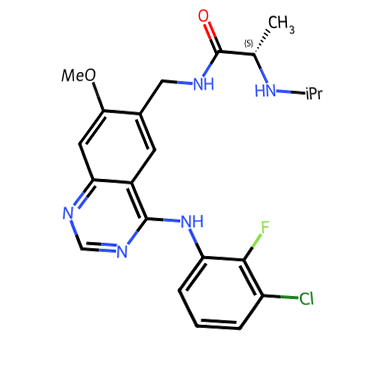 COc1cc2ncnc(Nc3cccc(Cl)c3F)c2cc1CNC(=O)[C@H](C)NC(C)C